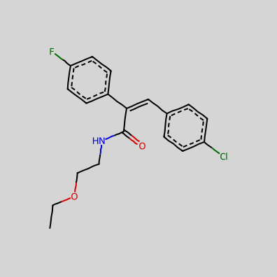 CCOCCNC(=O)/C(=C\c1ccc(Cl)cc1)c1ccc(F)cc1